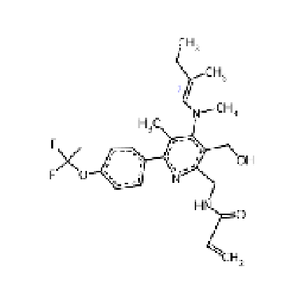 C=CC(=O)NCc1nc(-c2ccc(OC(F)(F)F)cc2)c(C)c(N(C)/C=C(\C)CC)c1CO